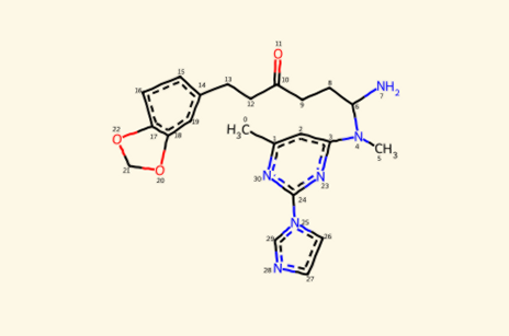 Cc1cc(N(C)C(N)CCC(=O)CCc2ccc3c(c2)OCO3)nc(-n2ccnc2)n1